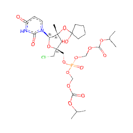 CC(C)OC(=O)OCOP(=O)(OCOC(=O)OC(C)C)OC[C@]1(CCl)C[C@@](C)(OC2(O)CCCC2)[C@H](n2ccc(=O)[nH]c2=O)O1